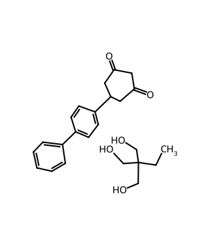 CCC(CO)(CO)CO.O=C1CC(=O)CC(c2ccc(-c3ccccc3)cc2)C1